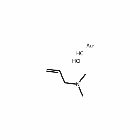 C=CCN(C)C.Cl.Cl.[Au]